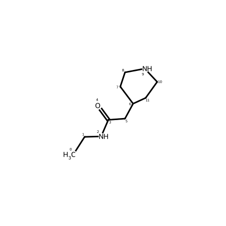 CCNC(=O)CC1CCNCC1